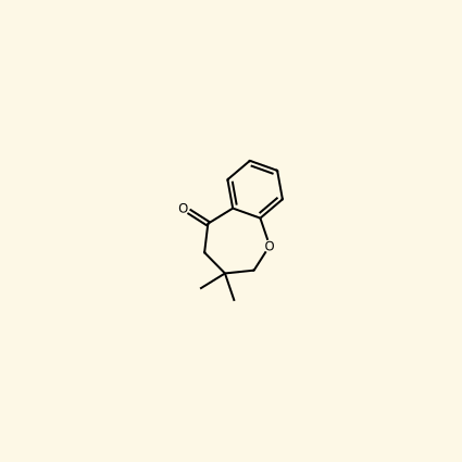 CC1(C)COc2ccccc2C(=O)C1